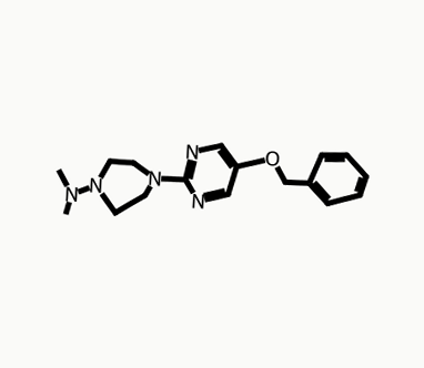 CN(C)N1CCN(c2ncc(OCc3ccccc3)cn2)CC1